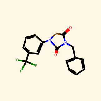 O=c1sn(-c2cccc(C(F)(F)F)c2)c(=O)n1Cc1ccccc1